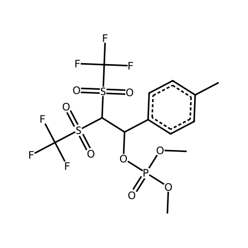 COP(=O)(OC)OC(c1ccc(C)cc1)C(S(=O)(=O)C(F)(F)F)S(=O)(=O)C(F)(F)F